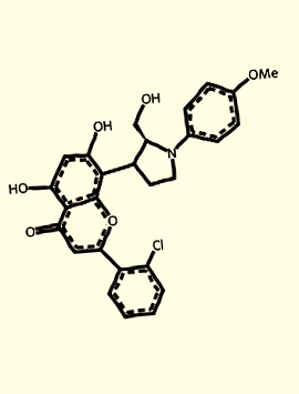 COc1ccc(N2CCC(c3c(O)cc(O)c4c(=O)cc(-c5ccccc5Cl)oc34)[C@H]2CO)cc1